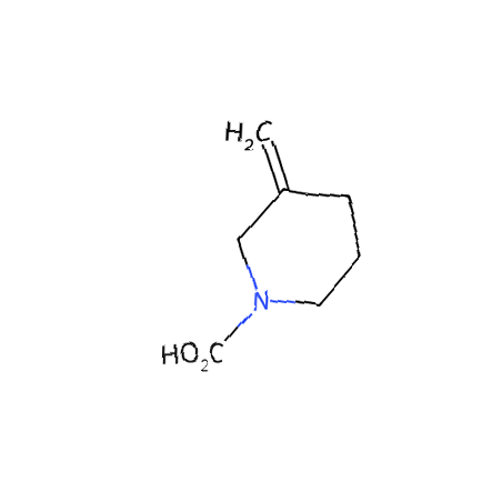 C=C1CCCN(C(=O)O)C1